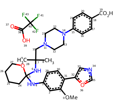 COc1cc(NC2(NC(C)(C)CN3CCN(c4ccc(C(=O)O)cc4)CC3)CCCCO2)ccc1-c1cnco1.O=C(O)C(F)(F)F